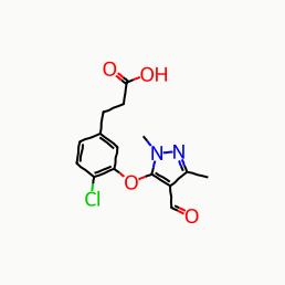 Cc1nn(C)c(Oc2cc(CCC(=O)O)ccc2Cl)c1C=O